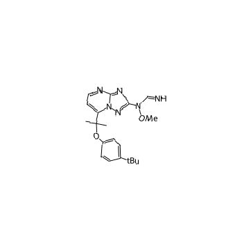 CON(C=N)c1nc2nccc(C(C)(C)Oc3ccc(C(C)(C)C)cc3)n2n1